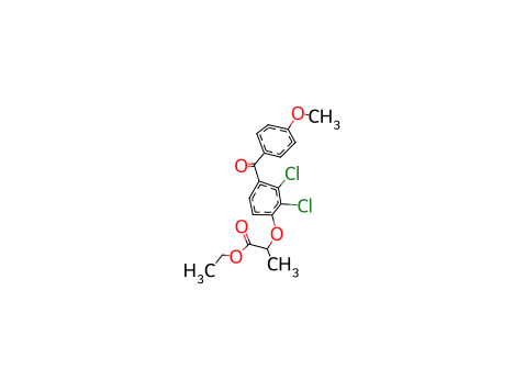 CCOC(=O)C(C)Oc1ccc(C(=O)c2ccc(OC)cc2)c(Cl)c1Cl